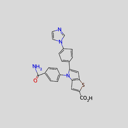 NC(=O)c1ccc(-n2c(-c3ccc(-n4ccnc4)cc3)cc3sc(C(=O)O)cc32)cc1